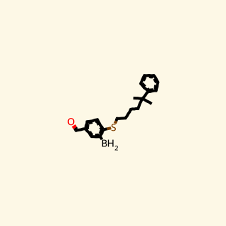 Bc1cc(C=O)ccc1SCCCCC(C)(C)c1ccccc1